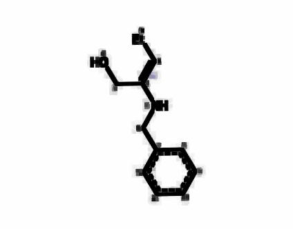 CC/C=C(\CO)NCc1ccccc1